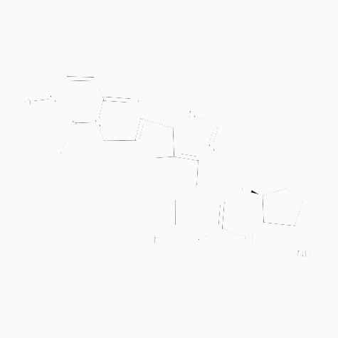 Cc1cc(Cl)cc(-c2ncnc3cc(Cn4c(=O)ccn(C(C)C)c4=O)sc23)c1O[C@H]1CC[C@H](N)C1